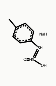 Cc1ccc([SH]=[SH](=O)O)cc1.[NaH]